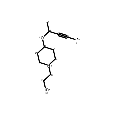 CC(C)C#CC(C)OC1CCN(CCC(C)C)CC1